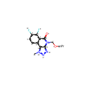 CCCOCn1c(=O)c2c(F)c(F)ccc2c2c1nnn2C